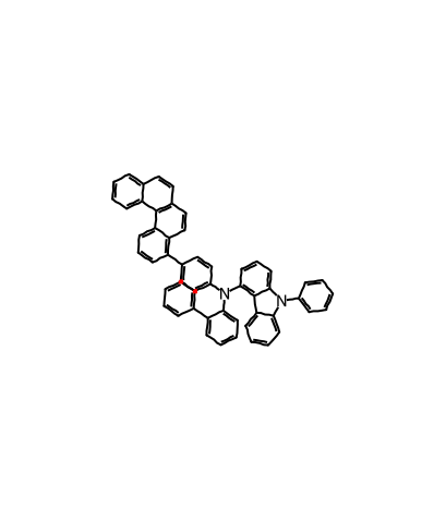 c1ccc(-c2ccccc2N(c2ccc(-c3cccc4c3ccc3ccc5ccccc5c34)cc2)c2cccc3c2c2ccccc2n3-c2ccccc2)cc1